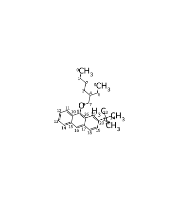 CCCCC(CC)COc1c2ccccc2cc2ccc(C(C)(C)C)cc12